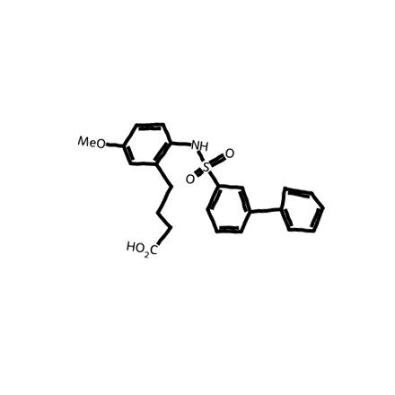 COc1ccc(NS(=O)(=O)c2cccc(-c3ccccc3)c2)c(CCCC(=O)O)c1